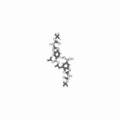 CC(C)OB(OC(C)Cc1cc(B(O)O)cc2nc(NC(=O)OC(C)(C)C)oc12)c1ccc2oc(NC(=O)OC(C)(C)C)nc2c1